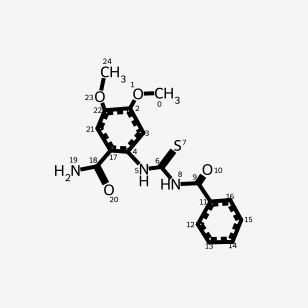 COc1cc(NC(=S)NC(=O)c2ccccc2)c(C(N)=O)cc1OC